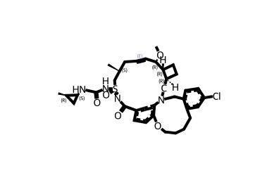 CO[C@H]1/C=C/C[C@H](C)CS(=O)(NC(=O)N[C@H]2C[C@H]2C)=NC(=O)c2ccc3c(c2)N(Cc2ccc(Cl)cc2CCCCO3)C[C@@H]2CC[C@H]21